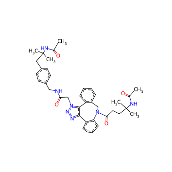 CC(=O)NC(C)(C)CCC(=O)N1Cc2ccccc2-c2c(nnn2CC(=O)NCc2ccc(CC(C)(C)NC(C)=O)cc2)-c2ccccc21